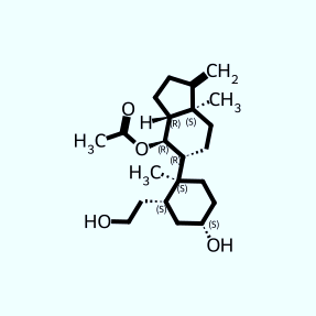 C=C1CC[C@H]2[C@H](OC(C)=O)[C@@H]([C@@]3(C)CC[C@H](O)C[C@@H]3CCO)CC[C@]12C